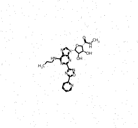 CCCNc1nc(-c2noc(-c3ccccn3)n2)nc2c1ncn2[C@@H]1O[C@H](C(=O)NC)[C@@H](O)[C@H]1O